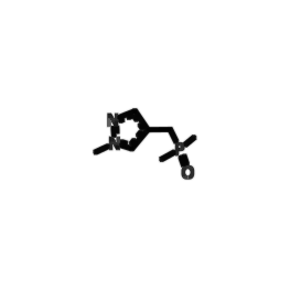 Cn1cc(CP(C)(C)=O)cn1